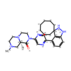 N#CN1CCN2CCN(c3cnc(-c4cccc5c4C4(CCCCCCC4)NN5)cn3)C(=O)[C@H]2C1